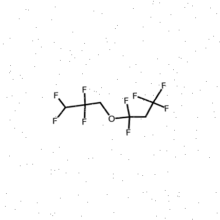 FC(F)C(F)(F)COC(F)(F)CC(F)(F)F